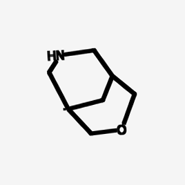 C1NCC2COC[C]1C2